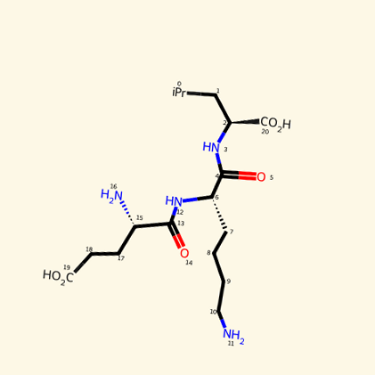 CC(C)C[C@H](NC(=O)[C@H](CCCCN)NC(=O)[C@@H](N)CCC(=O)O)C(=O)O